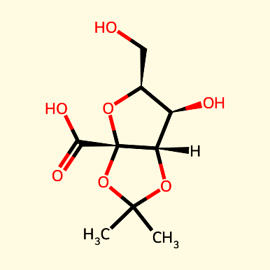 CC1(C)O[C@H]2[C@H](O)[C@H](CO)O[C@@]2(C(=O)O)O1